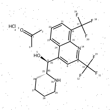 CC(C)=O.Cl.O[C@@H](c1cc(C(F)(F)F)nc2c(C(F)(F)F)cccc12)[C@H]1CCCCN1